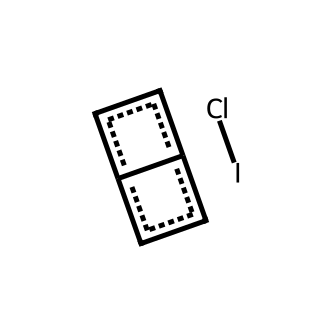 ClI.c1cc2ccc1-2